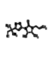 C=CCN1C(=O)N(c2cc(C(C)(C)CCl)no2)C(O)C1C